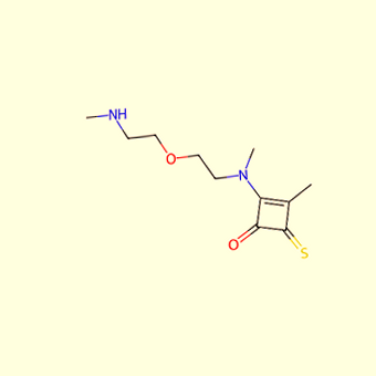 CNCCOCCN(C)c1c(C)c(=S)c1=O